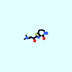 CN(C)/C=C/C(=O)c1nc2c(s1)CCCNC2=O